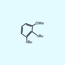 CCCCc1cccc(OC)c1CCCC